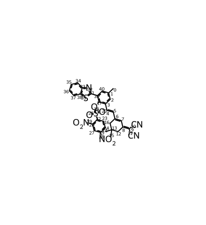 Cc1cc(/C=C/C2=CC(=C(C#N)C#N)CC(C)(C)C2)c(OS(=O)(=O)c2ccc([N+](=O)[O-])cc2[N+](=O)[O-])c(-c2nc3ccccc3s2)c1